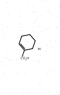 O=C(O)C1=CCCCC1.[In]